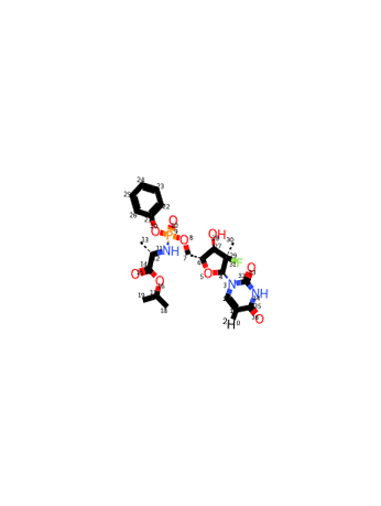 [2H]c1cn([C@@H]2O[C@H](CO[P@@](=O)(N[C@@H](C)C(=O)OC(C)C)Oc3ccccc3)[C@@H](O)[C@@]2(C)F)c(=O)[nH]c1=O